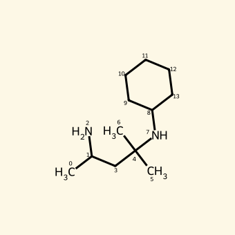 CC(N)CC(C)(C)NC1CCCCC1